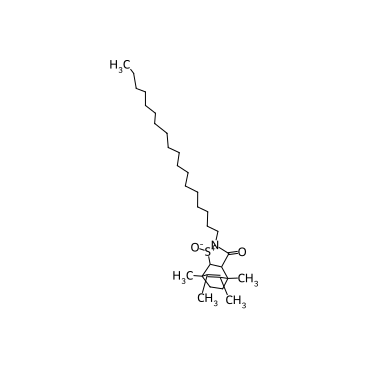 CCCCCCCCCCCCCCCCCCN1C(=O)C2C([S+]1[O-])C1(C)CCC2(C)C(C)=C1C